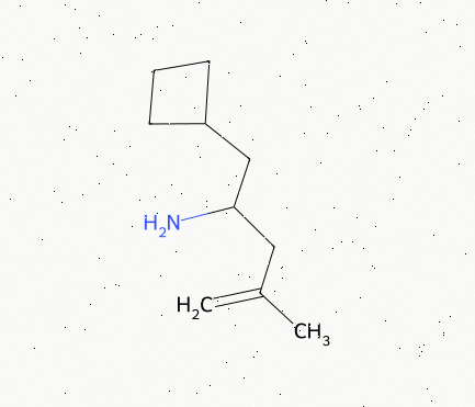 C=C(C)CC(N)CC1CCC1